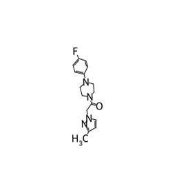 Cc1ccn(CC(=O)N2CCN(c3ccc(F)cc3)CC2)n1